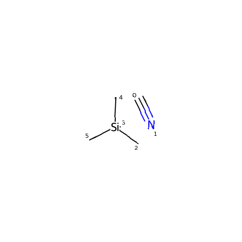 C#N.C[Si](C)C